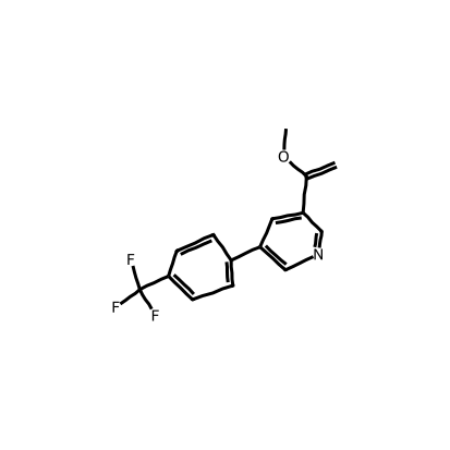 C=C(OC)c1cncc(-c2ccc(C(F)(F)F)cc2)c1